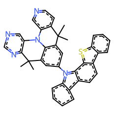 CC1(C)c2ccncc2N2c3cncnc3C(C)(C)c3cc(-n4c5ccccc5c5ccc6c7ccccc7sc6c54)cc1c32